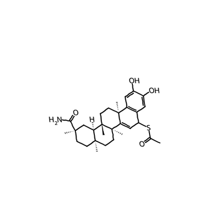 CC(=O)SC1C=C2[C@@](C)(CC[C@@]3(C)[C@@H]4C[C@](C)(C(N)=O)CC[C@]4(C)CC[C@]23C)c2cc(O)c(O)cc21